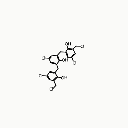 Oc1c(CCl)cc(Cl)cc1Cc1cc(Cl)cc(Cc2cc(Cl)cc(CCl)c2O)c1O